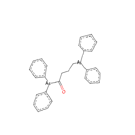 O=C(CCC[As](c1ccccc1)c1ccccc1)[As](c1ccccc1)c1ccccc1